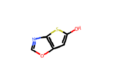 Oc1cc2ocnc2s1